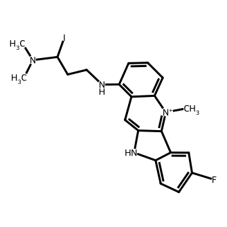 CN(C)C(I)CCNc1cccc2c1cc1[nH]c3ccc(F)cc3c1[n+]2C